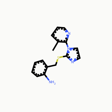 Cc1cccnc1-n1ccnc1SCc1ccccc1N